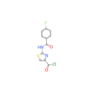 O=C(Nc1nc(C(=O)Cl)cs1)c1ccc(F)cc1